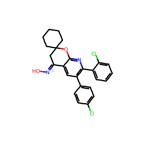 O/N=C1\CC2(CCCCC2)Oc2nc(-c3ccccc3Cl)c(-c3ccc(Cl)cc3)cc21